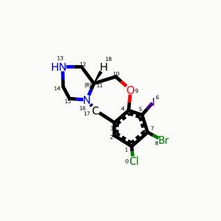 Clc1cc2c(c(I)c1Br)OC[C@H]1CNCCN1C2